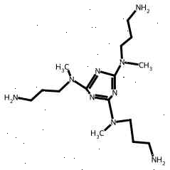 CN(CCCN)c1nc(N(C)CCCN)nc(N(C)CCCN)n1